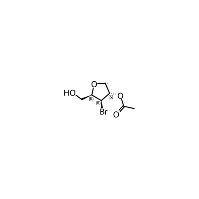 CC(=O)O[C@H]1[CH]O[C@H](CO)[C@@H]1Br